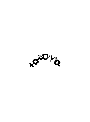 CC(C)(C)c1ccc(C2=NOC3(CCN(OC(=O)Nc4ccc(I)cc4)CC3)C2)cc1